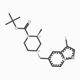 C[C@H]1C[C@H](Cc2ccn3ncc(I)c3c2)CCN1C(=O)OC(C)(C)C